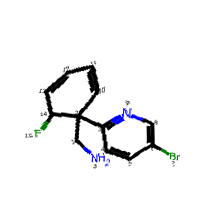 NCC1(c2ccc(Br)cn2)C=CC=CC1F